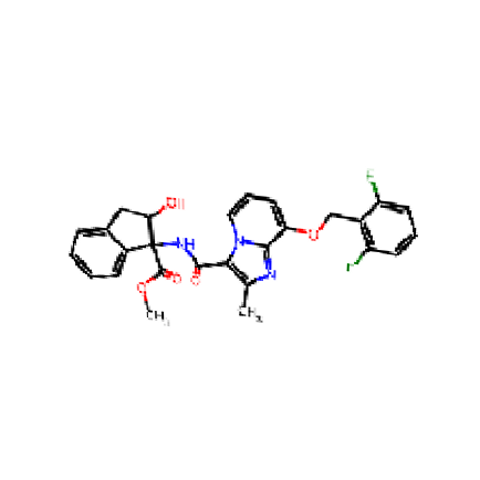 COC(=O)C1(NC(=O)c2c(C)nc3c(OCc4c(F)cccc4F)cccn23)c2ccccc2CC1O